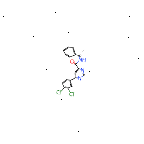 C[C@H](NC(=O)c1cc(-c2ccc(Cl)c(Cl)c2)ncn1)c1ccccc1